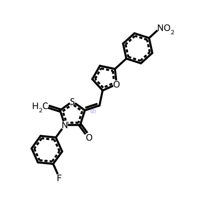 C=c1s/c(=C\c2ccc(-c3ccc([N+](=O)[O-])cc3)o2)c(=O)n1-c1cccc(F)c1